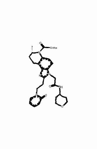 COC(=O)N1c2ccc3c(nc(CCn4ccccc4=O)n3CC(=O)NC3CCOCC3)c2CC[C@@H]1C